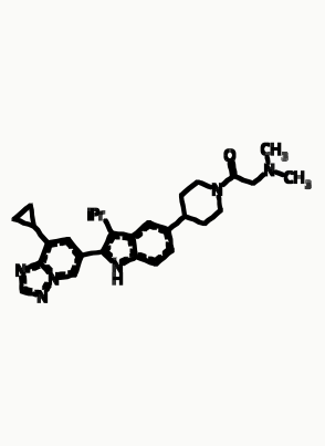 CC(C)c1c(-c2cc(C3CC3)c3ncnn3c2)[nH]c2ccc(C3CCN(C(=O)CN(C)C)CC3)cc12